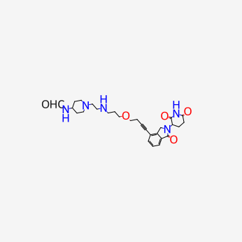 O=CNC1CCN(CCNCCCOCCC#Cc2cccc3c2CN(C2CCC(=O)NC2=O)C3=O)CC1